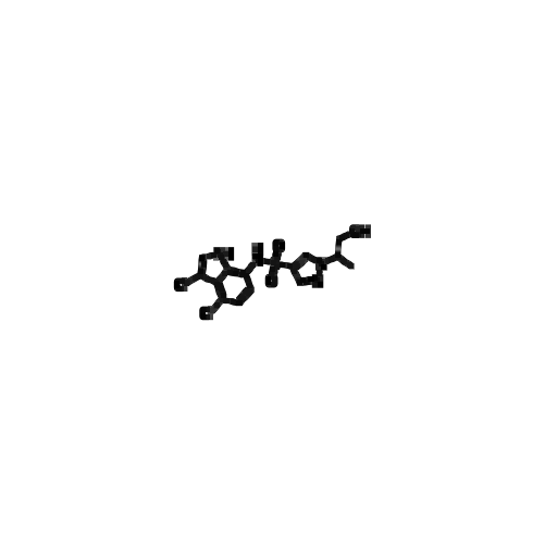 CC(CO)n1cc(S(=O)(=O)Nc2ccc(Cl)c3c(Cl)c[nH]c23)cn1